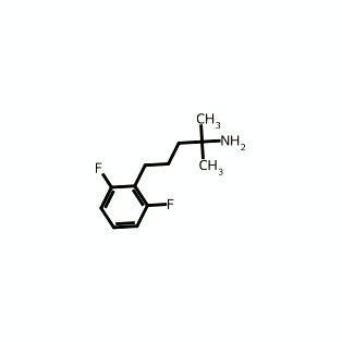 CC(C)(N)CCCc1c(F)cccc1F